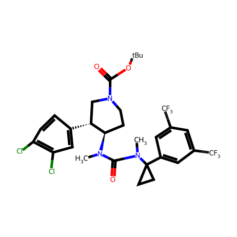 CN(C(=O)N(C)C1(c2cc(C(F)(F)F)cc(C(F)(F)F)c2)CC1)[C@@H]1CCN(C(=O)OC(C)(C)C)C[C@H]1c1ccc(Cl)c(Cl)c1